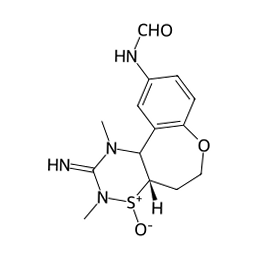 CN1C(=N)N(C)[S+]([O-])[C@H]2CCOc3ccc(NC=O)cc3C21